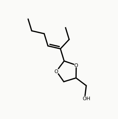 CCCC=C(CC)C1OCC(CO)O1